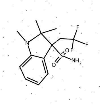 CN1c2ccccc2C(CC(F)(F)F)(S(N)(=O)=O)C1(C)C